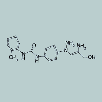 Cc1ccccc1NC(=O)Nc1ccc(N(N)/C=C(\N)CO)cc1